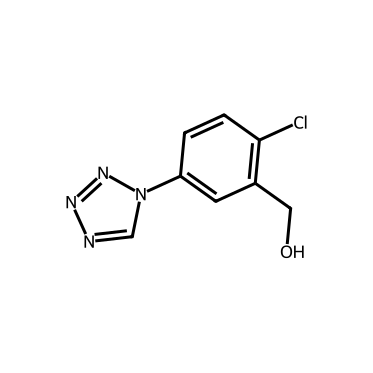 OCc1cc(-n2cnnn2)ccc1Cl